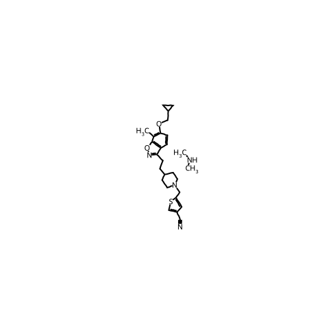 CNC.Cc1c(OCC2CC2)ccc2c(CCC3CCN(Cc4cc(C#N)cs4)CC3)noc12